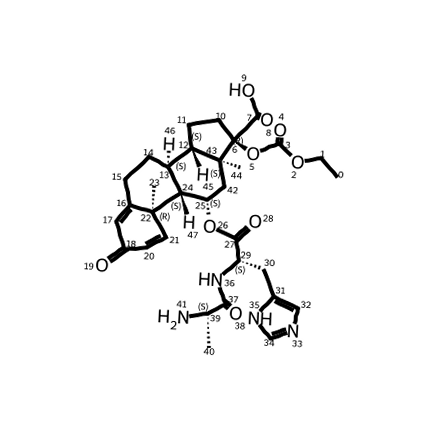 CCOC(=O)O[C@]1(C(=O)O)CC[C@H]2[C@@H]3CCC4=CC(=O)C=C[C@]4(C)[C@H]3[C@@H](OC(=O)[C@H](Cc3cnc[nH]3)NC(=O)[C@H](C)N)C[C@@]21C